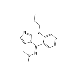 CCCSc1ccccc1/C(=N/N(C)C)n1ccnc1